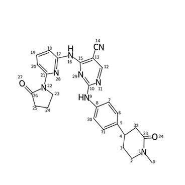 CN1CCC(c2ccc(Nc3ncc(C#N)c(Nc4cccc(N5CCCC5=O)n4)n3)cc2)CC1=O